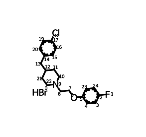 Br.Fc1ccc(OCCN2CCC(Cc3ccc(Cl)cc3)CC2)cc1